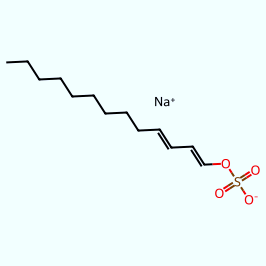 CCCCCCCCC/C=C/C=C/OS(=O)(=O)[O-].[Na+]